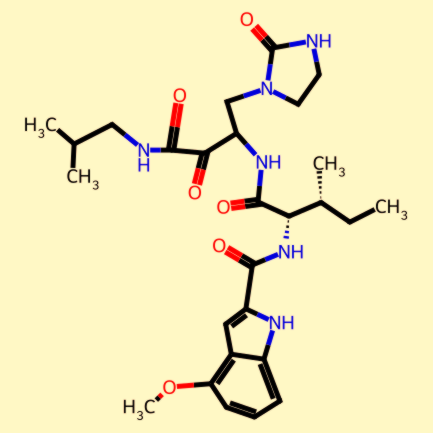 CC[C@@H](C)[C@H](NC(=O)c1cc2c(OC)cccc2[nH]1)C(=O)NC(CN1CCNC1=O)C(=O)C(=O)NCC(C)C